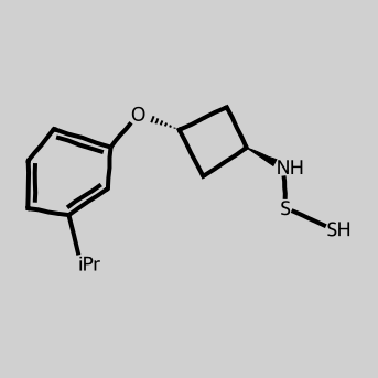 CC(C)c1cccc(O[C@H]2C[C@H](NSS)C2)c1